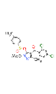 COn1nc(C)c(C(=O)c2ccc(Cl)cc2Cl)c1OS(=O)c1ccc(C)cc1